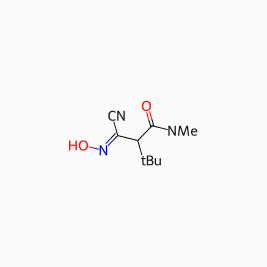 CNC(=O)C(/C(C#N)=N/O)C(C)(C)C